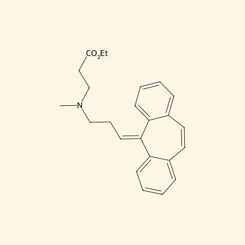 CCOC(=O)CCN(C)CCC=C1c2ccccc2C=Cc2ccccc21